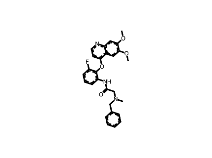 COc1cc2nccc(Oc3c(F)cccc3NC(=O)CN(C)Cc3ccccc3)c2cc1OC